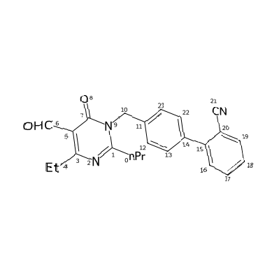 CCCc1nc(CC)c(C=O)c(=O)n1Cc1ccc(-c2ccccc2C#N)cc1